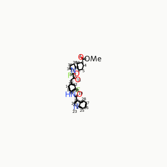 COC(=O)[C@H]1CC[C@H](OC(F)(C(=O)Cc2ccc(NC(=O)c3cn(C)c4ccccc34)c(F)c2)N2CCCC2)CC1